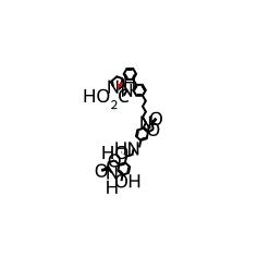 O=C1COc2c([C@H](O)CNCc3ccc4c(c3)oc(=O)n4CCCCc3ccc(-c4ccccc4)c(N(C(=O)O)[C@H]4CN5CCC4CC5)c3)ccc(O)c2N1